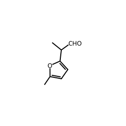 Cc1ccc(C(C)C=O)o1